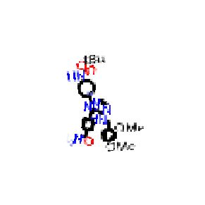 COc1ccc(CNc2nccn3c(/C4=C/CCC(NC(=O)OC(C)(C)C)CCC4)nc(-c4ccc(C(N)=O)cc4)c23)c(OC)c1